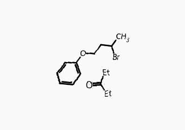 CC(Br)CCOc1ccccc1.CCC(=O)CC